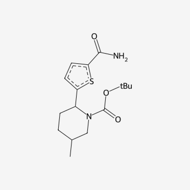 CC1CCC(c2ccc(C(N)=O)s2)N(C(=O)OC(C)(C)C)C1